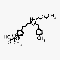 CCOCCn1nc(CCCc2ccc(OC(C)(C)C(=O)O)cc2)nc1Cc1ccc(C)cc1